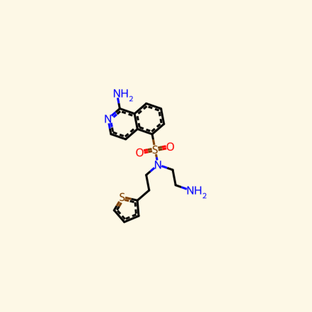 NCCN(CCc1cccs1)S(=O)(=O)c1cccc2c(N)nccc12